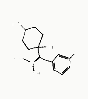 CN(C)C(c1cccc(F)c1)C1(C)CCC(N)CC1